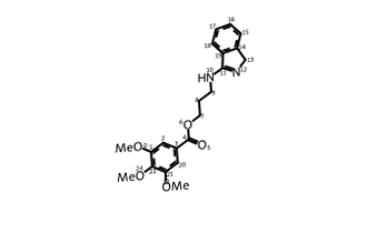 COc1cc(C(=O)OCCCNC2=NCc3ccccc32)cc(OC)c1OC